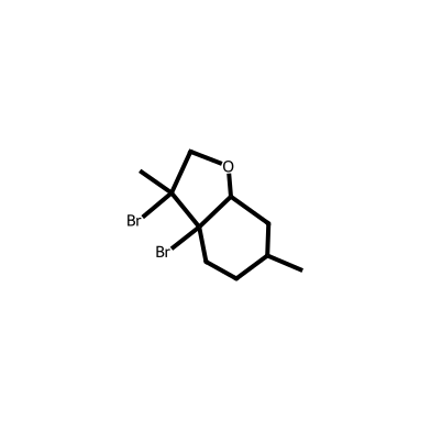 CC1CCC2(Br)C(C1)OCC2(C)Br